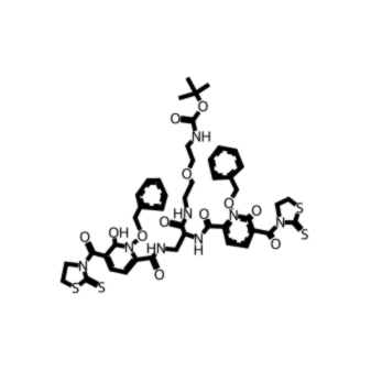 CC(C)(C)OC(=O)NCCOCCNC(=O)C(CNC(=O)C1=CC=C(C(=O)N2CCSC2=S)C(O)N1OCc1ccccc1)NC(=O)c1ccc(C(=O)N2CCSC2=S)c(=O)n1OCc1ccccc1